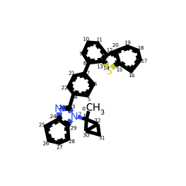 CC1(n2c(-c3ccc(-c4cccc5c4sc4ccccc45)cc3)nc3ccccc32)C2CC21